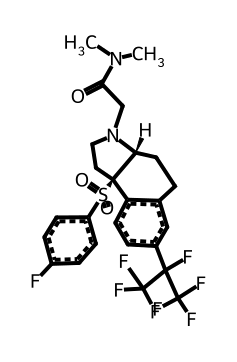 CN(C)C(=O)CN1CC[C@@]2(S(=O)(=O)c3ccc(F)cc3)c3ccc(C(F)(C(F)(F)F)C(F)(F)F)cc3CC[C@@H]12